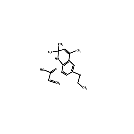 C=CC(=O)O.CCOc1ccc2c(c1)C(C)=CC(C)(C)N2